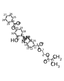 C=C(C)C(=O)OCCOC(=O)c1ccc2nn(-c3ccc(OC(=O)c4ccccc4)cc3O)nc2c1